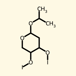 CC(C)OC1CC(OI)C(OI)CO1